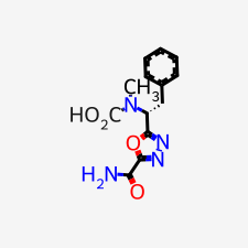 CN(C(=O)O)[C@H](Cc1ccccc1)c1nnc(C(N)=O)o1